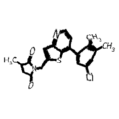 Cc1cc(Cl)cc(-c2ccnc3cc(CN4C(=O)CC(C)C4=O)sc23)c1C